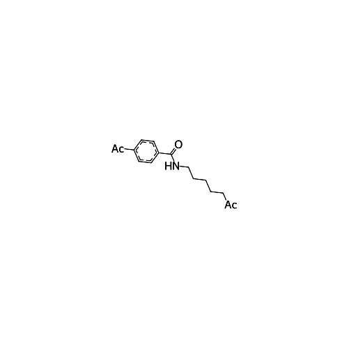 CC(=O)CCCCCNC(=O)c1ccc(C(C)=O)cc1